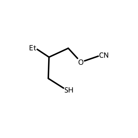 CCC(CS)COC#N